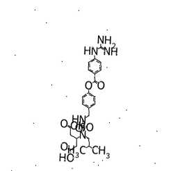 CC(C)CN(C(CC(=O)O)CC(=O)O)S(=O)(=O)NCc1ccc(OC(=O)c2ccc(NC(=N)N)cc2)cc1